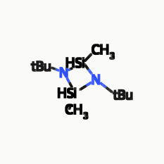 C[SiH]1N(C(C)(C)C)[SiH](C)N1C(C)(C)C